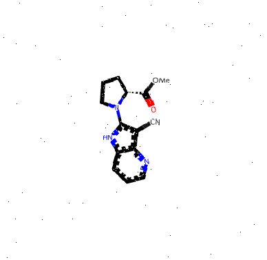 COC(=O)[C@H]1CCCN1c1[nH]c2cccnc2c1C#N